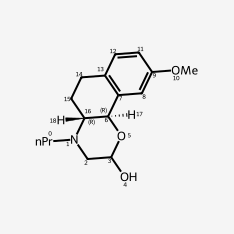 CCCN1CC(O)O[C@@H]2c3cc(OC)ccc3CC[C@H]21